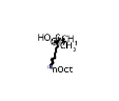 CCCCCCCC/C=C\CCCCCCCC(=O)C(C(=O)O)N(C)C